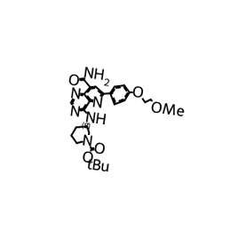 COCCOc1ccc(-c2cc(C(N)=O)c3ncnc(N[C@H]4CCCN(C(=O)OC(C)(C)C)C4)c3n2)cc1